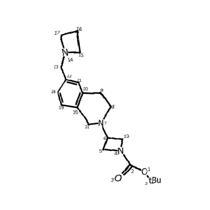 CC(C)(C)OC(=O)N1CC(N2CCc3cc(CN4CCC4)ccc3C2)C1